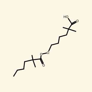 CCCCC(C)(C)C(=O)OOCCCCC(C)(C)C(=O)O